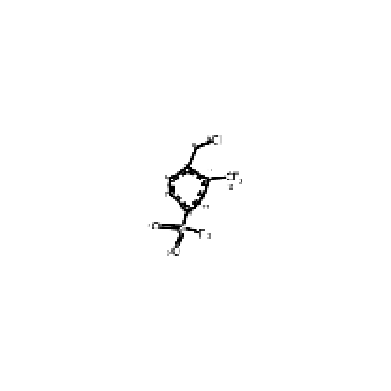 O=S(=O)(F)c1ccc(CCl)c(C(F)(F)F)c1